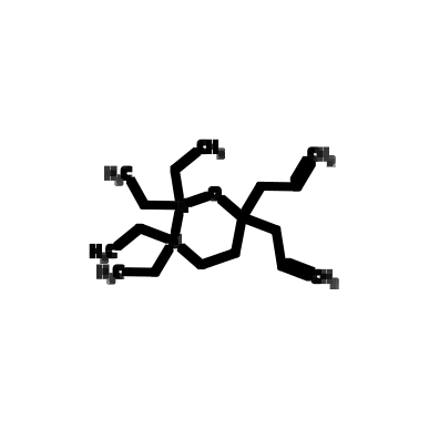 C=CCC1(CC=C)CC[Si](CC)(CC)[Si](CC)(CC)O1